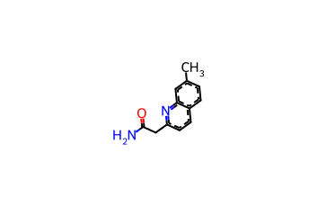 Cc1ccc2ccc(CC(N)=O)nc2c1